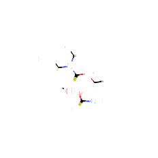 CC.CCOC(=S)N(CC)CC.NC(O)=S